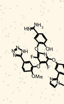 COc1ccc(-c2nnn[nH]2)cc1Oc1c(F)c(Oc2cccc(-c3nccn3C)c2)nc(Oc2cc(C(=N)N)ccc2O)c1F